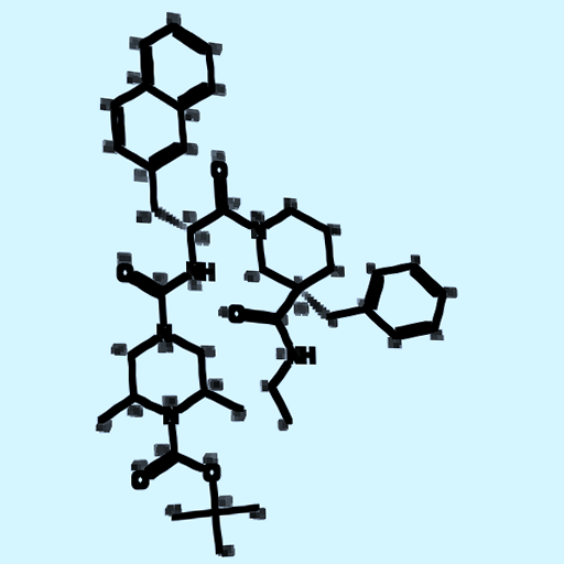 CCNC(=O)[C@]1(Cc2ccccc2)CCCN(C(=O)[C@@H](Cc2ccc3ccccc3c2)NC(=O)N2CC(C)N(C(=O)OC(C)(C)C)C(C)C2)C1